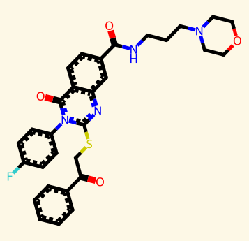 O=C(CSc1nc2cc(C(=O)NCCCN3CCOCC3)ccc2c(=O)n1-c1ccc(F)cc1)c1ccccc1